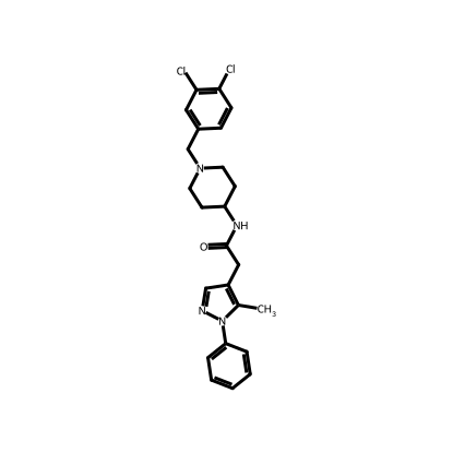 Cc1c(CC(=O)NC2CCN(Cc3ccc(Cl)c(Cl)c3)CC2)cnn1-c1ccccc1